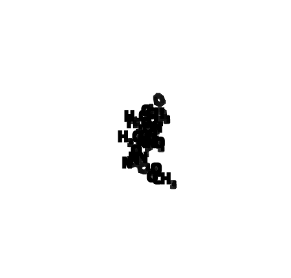 COC(=O)c1ccc(-c2cncn2COCC[Si](C)(C)C)c(NCCCNC(=O)CCN(Cc2ccc(-c3ccccc3)c(Cl)c2)C(=O)OC(C)(C)C)c1